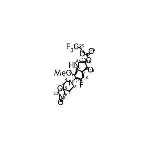 COc1c(N2CCC3(CC2)C[N+](=O)CO3)c(F)cc2c(=O)c(OC(=O)OCC(F)(F)F)c[nH]c12